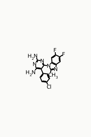 Cc1nc2cc(F)c(F)cc2n1-c1nc(N)nc(N)c1-c1ccc(Cl)cc1